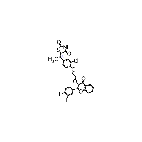 C/C(=C1\SC(=O)NC1=O)c1ccc(OCCOc2c(-c3ccc(F)c(F)c3)oc3ccccc3c2=O)c(Cl)c1